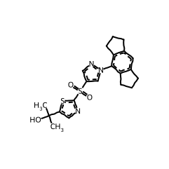 CC(C)(O)c1cnc(S(=O)(=O)c2cnn(-c3c4c(cc5c3CCC5)CCC4)c2)s1